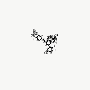 [2H]C([2H])([2H])C(c1cc(-c2cc(Cl)c[nH]c2=O)cc(/C=C/c2ccc(NS(C)(=O)=O)cn2)c1OC)(C([2H])([2H])[2H])C([2H])([2H])[2H]